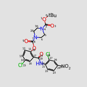 CC(C)(C)OC(=O)N1CCN(C(=O)Oc2ccc(Cl)cc2C(=O)Nc2ccc([N+](=O)[O-])cc2Cl)CC1